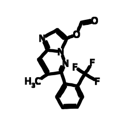 Cc1cc2ncc(OC=O)n2nc1-c1ccccc1C(F)(F)F